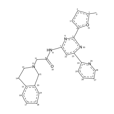 Cc1ccc(-c2nc(NC(=O)CN3CCc4ccccc4C3)cc(-c3ccccn3)n2)o1